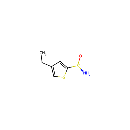 CCc1csc([S@+](N)[O-])c1